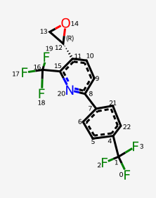 FC(F)(F)c1ccc(-c2ccc([C@@H]3CO3)c(C(F)(F)F)n2)cc1